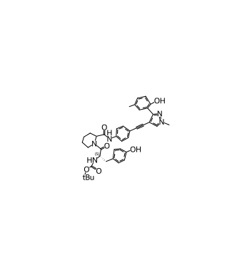 Cc1ccc(O)c(-c2nn(C)cc2C#Cc2ccc(NC(=O)C3CCCCN3C(=O)[C@H](Cc3ccc(O)cc3)NC(=O)OC(C)(C)C)cc2)c1